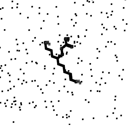 CC=CCCCC(CCCC)OOC(=O)O